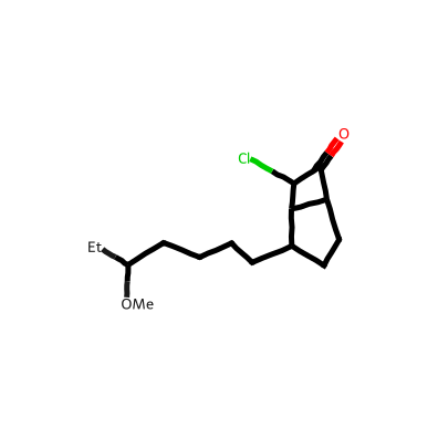 CCC(CCCCC1CCC2C(=O)C(Cl)C12)OC